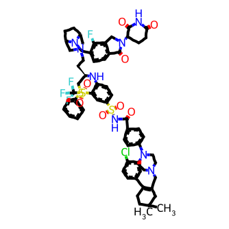 CC1(C)CCC(c2ccc(Cl)cc2)=C(CN2CCN(c3ccc(C(=O)NS(=O)(=O)c4ccc(N[C@H](CCN5CC6CCC(C5)N6Cc5ccc6c(c5F)CN(C5CCC(=O)NC5=O)C6=O)CSc5ccccc5)c(S(=O)(=O)C(F)(F)F)c4)cc3)CC2)C1